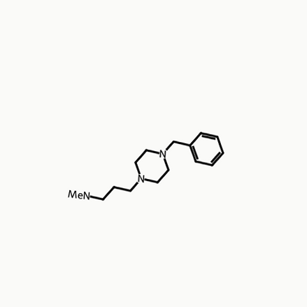 CNCCCN1CCN(Cc2ccccc2)CC1